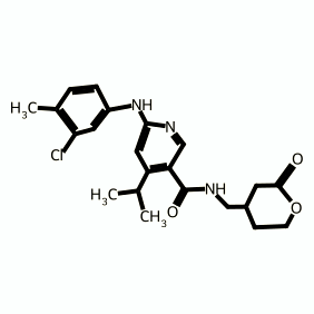 Cc1ccc(Nc2cc(C(C)C)c(C(=O)NCC3CCOC(=O)C3)cn2)cc1Cl